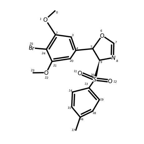 COc1cc(C2OC=N[C@H]2S(=O)(=O)c2ccc(C)cc2)cc(OC)c1Br